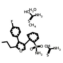 C.CCCc1occ(-c2ccccc2S(N)(=O)=O)c1-c1ccc(F)cc1.NC(O)=S.NC(O)=S.O